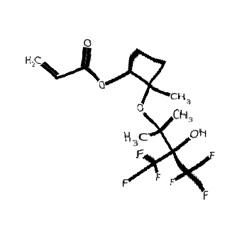 C=CC(=O)OC1CCC1(C)OC(C)(C)C(O)(C(F)(F)F)C(F)(F)F